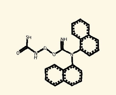 N=C(OONC(=O)S)N(c1cccc2ccccc12)c1cccc2ccccc12